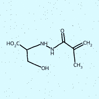 C=C(C)C(=O)NNC(CO)C(=O)O